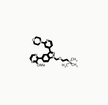 COc1nccnc1-c1ccc2c(c1)c(-c1ccnc(N3CCOCC3)c1)nn2COCC[Si](C)(C)C